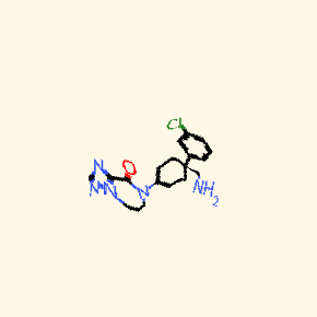 NC[C@]1(c2cccc(Cl)c2)CC[C@H](N2CCn3ncnc3C2=O)CC1